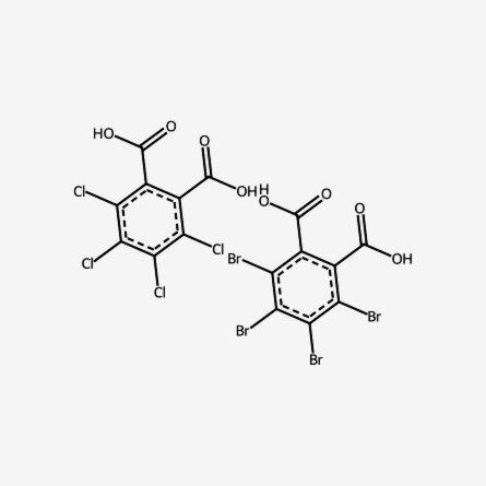 O=C(O)c1c(Br)c(Br)c(Br)c(Br)c1C(=O)O.O=C(O)c1c(Cl)c(Cl)c(Cl)c(Cl)c1C(=O)O